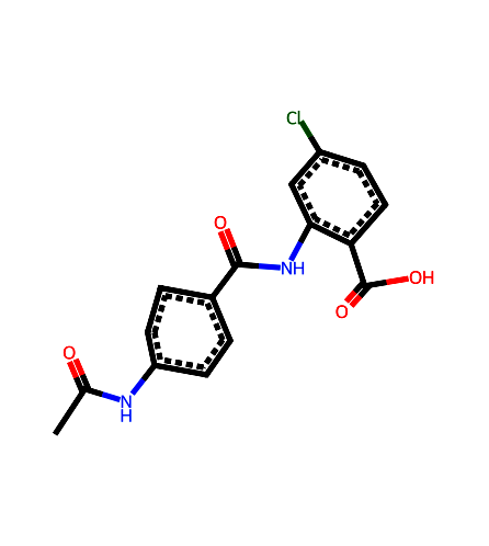 CC(=O)Nc1ccc(C(=O)Nc2cc(Cl)ccc2C(=O)O)cc1